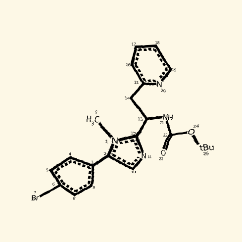 Cn1c(-c2ccc(Br)cc2)cnc1C(Cc1ccccn1)NC(=O)OC(C)(C)C